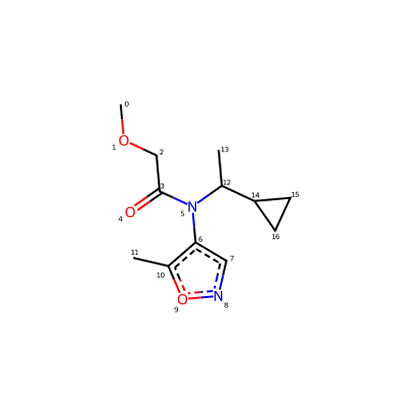 COCC(=O)N(c1cnoc1C)C(C)C1CC1